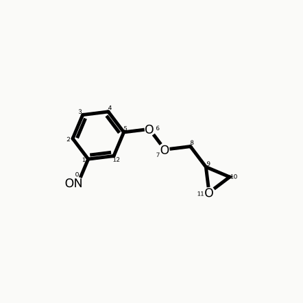 O=Nc1cccc(OOCC2CO2)c1